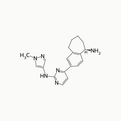 Cn1cc(Nc2nccc(-c3ccc4c(c3)CCCC[C@H]4N)n2)cn1